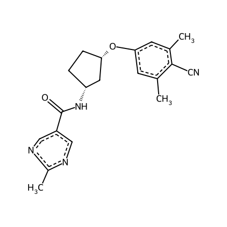 Cc1ncc(C(=O)N[C@@H]2CC[C@H](Oc3cc(C)c(C#N)c(C)c3)C2)cn1